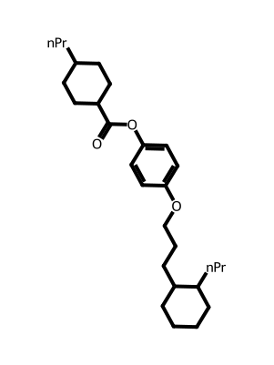 CCCC1CCC(C(=O)Oc2ccc(OCCCC3CCCCC3CCC)cc2)CC1